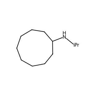 CC(C)NC1CCCCCCCC1